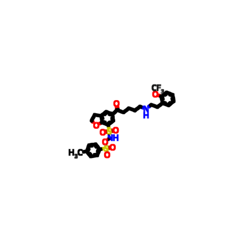 Cc1ccc(S(=O)(=O)ONS(=O)(=O)c2cc(C(=O)CCCCNCCc3ccccc3OC(F)(F)F)cc3c2OCC3)cc1